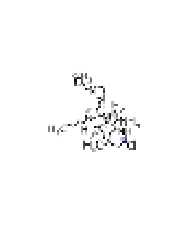 CCCCCN1CCC(O[C@H]2CCCN(CCOC)C2)C(NC(=O)C(C(N)N)C2CC(CC)(CCC)CC/C(Cl)=C\N2)C1